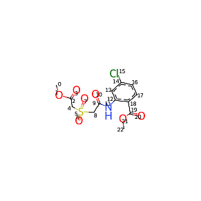 COC(=O)CS(=O)(=O)CC(=O)Nc1cc(Cl)ccc1C(=O)OC